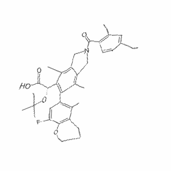 Cc1ccc(C(=O)N2Cc3c(C)c(-c4cc(F)c5c(c4C)CCCO5)c([C@H](OC(C)(C)C)C(=O)O)c(C)c3C2)c(C)c1